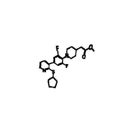 COC(=O)CC1CCN(c2c(F)cc(-c3cccnc3SC3CCCC3)cc2F)CC1